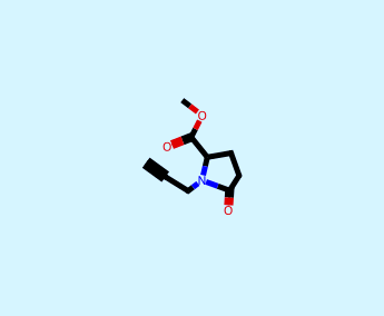 C#CCN1C(=O)CCC1C(=O)OC